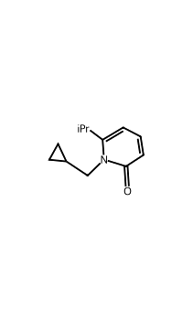 CC(C)c1cccc(=O)n1CC1CC1